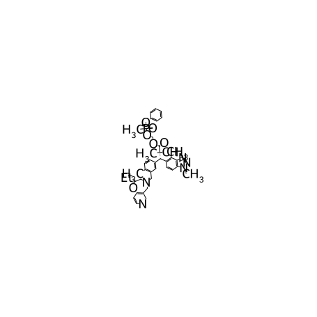 CCC1CN(Cc2cc([C@@H](c3ccc4c(nnn4C)c3C)C(C)(C)C(=O)OCOP(C)(=O)Oc3ccccc3)ccc2C)Cc2cnccc2O1